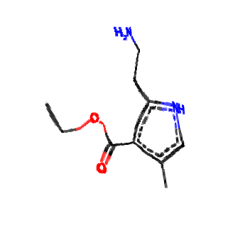 CCOC(=O)c1c(C)c[nH]c1CCN